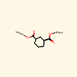 CCCCCOC(=O)C1CCCC(C(=O)OCCCCC)C1